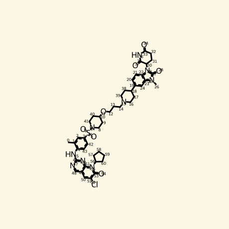 Cc1cc(S(=O)(=O)N2CCC(OCCCN3CCC(c4ccc5c(c4)n(C)c(=O)n5C4CCC(=O)NC4=O)CC3)CC2)ccc1Nc1ncc2cc(Cl)c(=O)n(C3CCCC3)c2n1